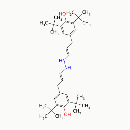 CC(C)(C)c1cc(CC=CNNC=CCc2cc(C(C)(C)C)c(O)c(C(C)(C)C)c2)cc(C(C)(C)C)c1O